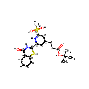 CC(C)(C)OC(=O)CCc1cc(-c2nc(=O)c3ccccc3s2)nc(S(C)(=O)=O)c1